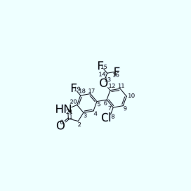 O=C1Cc2cc(-c3c(Cl)cccc3OC(F)F)cc(F)c2N1